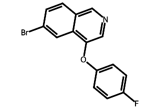 Fc1ccc(Oc2cncc3ccc(Br)cc23)cc1